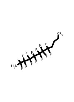 NC(F)(F)C(F)(F)C(F)(F)C(F)(F)C(F)(F)C(F)(F)C(F)(F)CCCC(F)(F)F